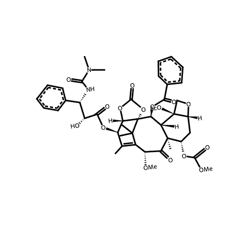 COC(=O)O[C@H]1C[C@H]2OC[C@@]2(OC(C)=O)[C@H]2[C@H](OC(=O)c3ccccc3)[C@]34OC(=O)O[C@H]3[C@H](OC(=O)[C@H](O)[C@@H](NC(=O)N(C)C)c3ccccc3)C(C)=C([C@@H](OC)C(=O)[C@]12C)C4(C)C